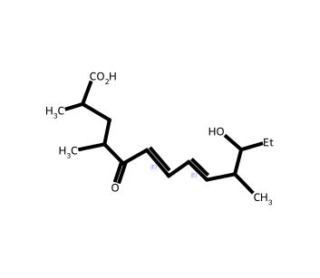 CCC(O)C(C)/C=C/C=C/C(=O)C(C)CC(C)C(=O)O